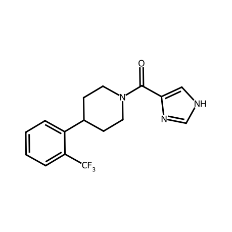 O=C(c1c[nH]cn1)N1CCC(c2ccccc2C(F)(F)F)CC1